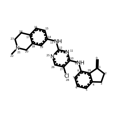 C=C1CCc2cccc(Nc3nc(Nc4ccc5c(c4)CN(C)CC5)ncc3Cl)c21